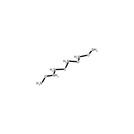 [SiH3]O[SiH2]O[SiH2]S[SiH2][SiH2]O[SiH3]